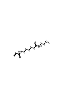 C=CC(=O)NCCCCCC(=O)NCCOC